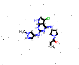 C=CC(=O)N1CC[C@@H](Nc2nc(Nc3cnn(C)c3)nc3[nH]cc(Cl)c23)C1